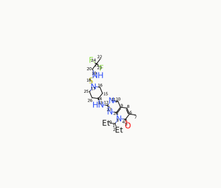 CCC(CC)n1c(=O)c(C)cc2cnc(NC3CCN(SNCC(C)(F)F)CC3)nc21